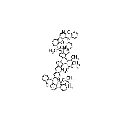 Cc1ccccc1N(c1ccc2cc3c(cc2c1)oc1c2oc4cc5cc(N(c6ccccc6C)c6cccc7c6oc6c(C(C)(C)C)cccc67)ccc5cc4c2c(C(C)C)c(C(C)C)c31)c1cccc2c1oc1c(C(C)(C)C)cccc12